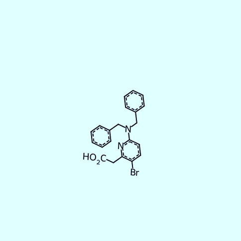 O=C(O)Cc1nc(N(Cc2ccccc2)Cc2ccccc2)ccc1Br